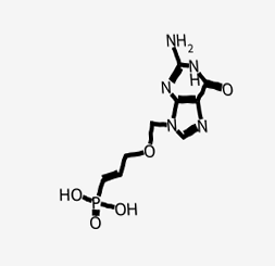 Nc1nc2c(ncn2COCC=CP(=O)(O)O)c(=O)[nH]1